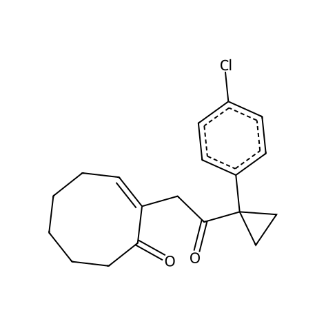 O=C1CCCCCC=C1CC(=O)C1(c2ccc(Cl)cc2)CC1